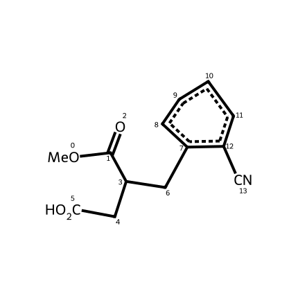 COC(=O)C(CC(=O)O)Cc1ccccc1C#N